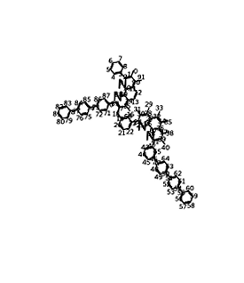 Cc1c(-c2ccccc2)nc2c(ccc3c(C)c(Cc4cccc(-c5nc6c(c(C)c5C)c(C)c(C)c5c(C)c(C)c(-c7cccc(-c8ccc(-c9ccc(-c%10ccccc%10)cc9)cc8)c7)nc56)c4)c(-c4ccc(-c5ccc(-c6ccccc6)cc5)cc4)nc32)c1C